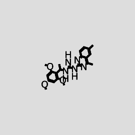 COc1cc(OC)c(C(C)NC(=N)Nc2nc(C)c3cc(C)ccc3n2)c(OC)c1